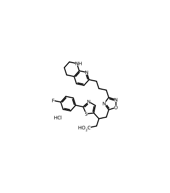 Cl.O=C(O)CC(Cc1nc(CCCc2ccc3c(n2)NCCC3)no1)c1cnc(-c2ccc(F)cc2)s1